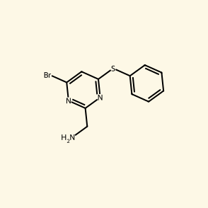 NCc1nc(Br)cc(Sc2ccccc2)n1